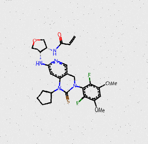 C=CC(=O)N[C@H]1COC[C@H]1Nc1cc2c(cn1)CN(c1c(F)c(OC)cc(OC)c1F)C(=S)N2C1CCCC1